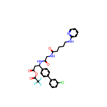 O=C(CCCCNc1ccccn1)NCC(=O)NC(CC(=O)OC(=O)C(F)(F)F)c1ccc(-c2cccc(Cl)c2)cc1